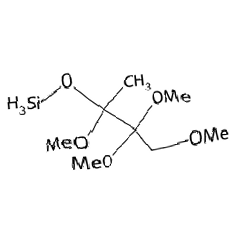 COCC(OC)(OC)C(C)(OC)O[SiH3]